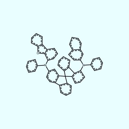 c1ccc(N(c2ccc3ccccc3c2)c2cccc3c2-c2ccccc2C32c3ccccc3-c3ccc(N(c4ccccc4)c4cccc5c4oc4ccccc45)cc32)cc1